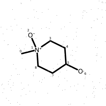 C[N+]1([O-])CCC([O])CC1